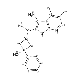 Cc1nnc2sc(C(O)N3CC(O)(c4ccccc4)C3)c(N)c2c1C